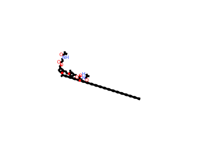 C#CC#CC#CC#CC#CC#CC#CC#CC#CC#CC#CC#CC#CC#CC#CC#CC#CC#CC(C)C1C2CC(COC(=O)CCNC(=O)C(=C)C)C(C2)C1CCC1C2CC(COC(=O)CCNC(=O)C(=C)C)C(C2)C1C